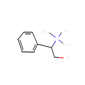 CCCC[N+](CCCC)(CCCC)C(CO)c1ccccc1